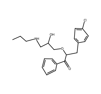 CCCNCC(O)COC(Cc1ccc(Cl)cc1)C(=O)c1ccccc1